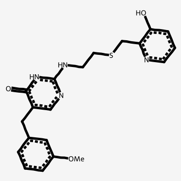 COc1cccc(Cc2cnc(NCCSCc3ncccc3O)[nH]c2=O)c1